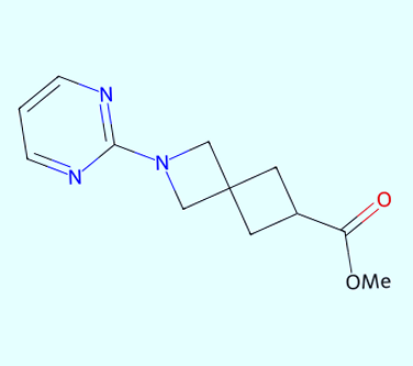 COC(=O)C1CC2(C1)CN(c1ncccn1)C2